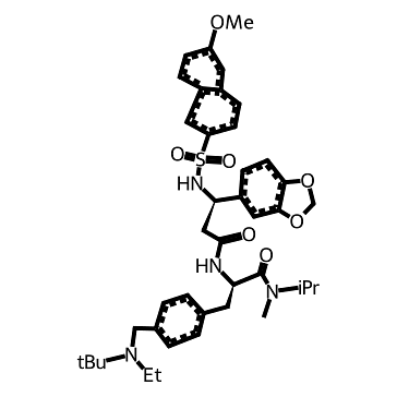 CCN(Cc1ccc(C[C@@H](NC(=O)C[C@@H](NS(=O)(=O)c2ccc3cc(OC)ccc3c2)c2ccc3c(c2)OCO3)C(=O)N(C)C(C)C)cc1)C(C)(C)C